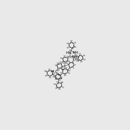 Cc1ccc2c(c1)C1(c3cc(C)ccc3-c3ccc(C4NC(c5ccccc5)NC(c5ccccc5)N4)cc31)c1cc(-c3nc(-c4ccccc4)nc(-c4ccccc4)n3)ccc1-2